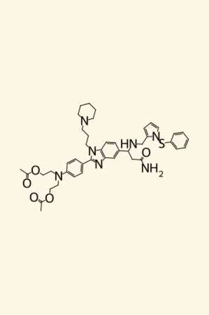 CC(=O)OCCN(CCOC(C)=O)c1ccc(-c2nc3cc(C(CC(N)=O)NCc4cccn4Sc4ccccc4)ccc3n2CCCN2CCCCC2)cc1